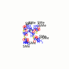 CSCCC(CSC)NC(=O)C(CN)N1C(=O)CC(SCCN(CCSC2CC(=O)N(C(CN)C(=O)NC(CCSC)CSC)C2=O)C(=O)NCCN(CCNC(=O)N(CCSC2CC(=O)N(C(CN)C(=O)NC(CCSC)CSC)C2=O)CCSC2CC(=O)N(C(CN)C(=O)NC(CCSC)CSC)C2=O)C(C)C)C1=O